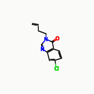 C=CCCn1cnc2cc(Cl)ccc2c1=O